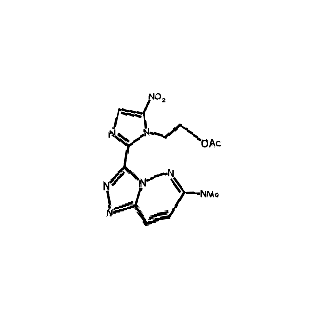 CNc1ccc2nnc(-c3ncc([N+](=O)[O-])n3CCOC(C)=O)n2n1